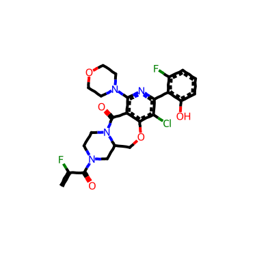 C=C(F)C(=O)N1CCN2C(=O)c3c(N4CCOCC4)nc(-c4c(O)cccc4F)c(Cl)c3OCC2C1